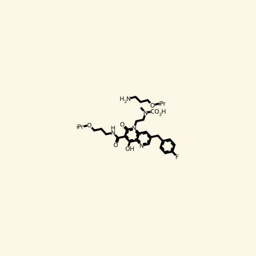 CC(C)OCCCN.CC(C)OCCCNC(=O)c1c(O)c2ncc(Cc3ccc(F)cc3)cc2n(CCN(C)C(=O)O)c1=O